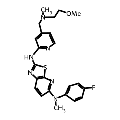 COCCN(C)Cc1ccnc(Nc2nc3ccc(N(C)c4ccc(F)cc4)nc3s2)c1